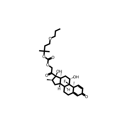 CCCOCCC(C)(C)OC(=O)OCC(=O)[C@@]1(O)[C@H](C)C[C@H]2[C@@H]3CCC4=CC(=O)C=C[C@]4(C)[C@@]3(F)[C@@H](O)C[C@@]21C